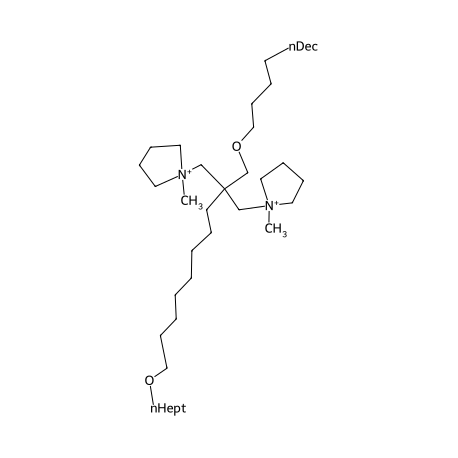 CCCCCCCCCCCCCCOCC(CCCCCCCCOCCCCCCC)(C[N+]1(C)CCCC1)C[N+]1(C)CCCC1